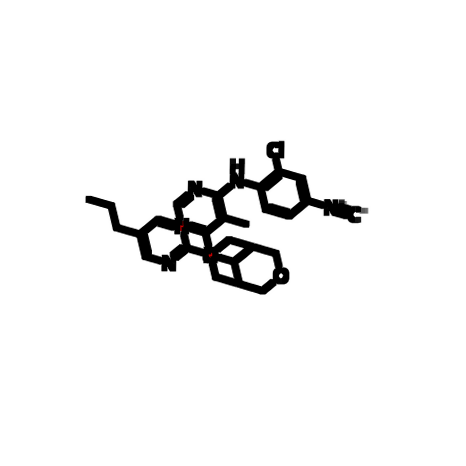 [C-]#[N+]c1ccc(Nc2ncnc(OC3C4COCC3CN(c3ncc(CCC)cn3)C4)c2C)c(Cl)c1